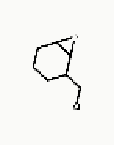 ClCC1CCCC2OC12